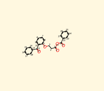 O=C(CCOc1ccccc1C(=O)c1ccccc1)OC(=O)c1ccccc1